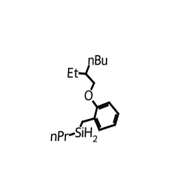 CCCCC(CC)COc1ccccc1C[SiH2]CCC